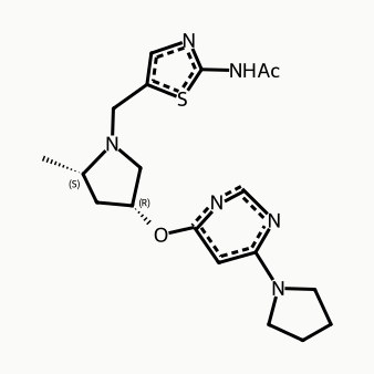 CC(=O)Nc1ncc(CN2C[C@H](Oc3cc(N4CCCC4)ncn3)C[C@@H]2C)s1